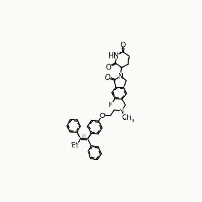 CC/C(=C(\c1ccccc1)c1ccc(OCCN(C)Cc2cc3c(cc2F)C(=O)N(C2CCC(=O)NC2=O)C3)cc1)c1ccccc1